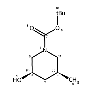 C[C@H]1C[C@@H](O)CN(C(=O)OC(C)(C)C)C1